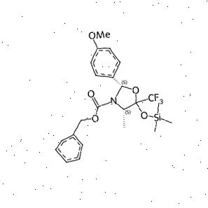 COc1ccc([C@@H]2OC(O[Si](C)(C)C)(C(F)(F)F)[C@H](C)N2C(=O)OCc2ccccc2)cc1